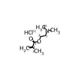 C=C(C)C(=O)OCCN(C)C.Cl